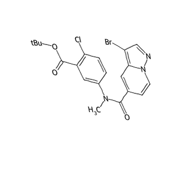 CN(C(=O)c1ccn2ncc(Br)c2c1)c1ccc(Cl)c(C(=O)OC(C)(C)C)c1